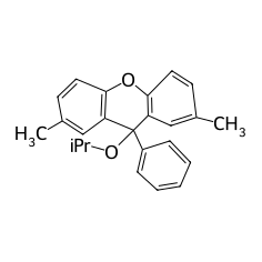 Cc1ccc2c(c1)C(OC(C)C)(c1ccccc1)c1cc(C)ccc1O2